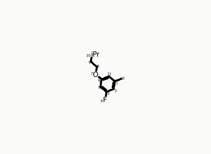 Cc1cc(F)cc(OCCC(C)C)c1